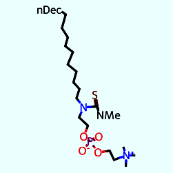 CCCCCCCCCCCCCCCCCCCCN(CCOP(=O)([O-])OCC[N+](C)(C)C)C(=S)NC